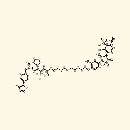 Cc1ncsc1-c1ccc(CNC(=O)[C@@H]2CCCN2C(=O)[C@@H](NC(=O)COCCCOCCCCCOc2ncc(N3C(=S)N(c4ccc(C#N)c(C(F)(F)F)c4F)C(=O)C3(C)C)cc2F)C(C)(C)C)cc1